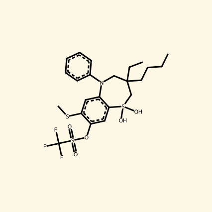 CCCCC1(CC)CN(c2ccccc2)c2cc(SC)c(OS(=O)(=O)C(F)(F)F)cc2S(O)(O)C1